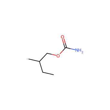 [CH2]C(CC)COC(N)=O